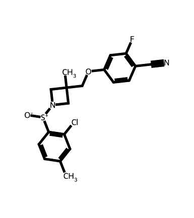 Cc1ccc([S+]([O-])N2CC(C)(COc3ccc(C#N)c(F)c3)C2)c(Cl)c1